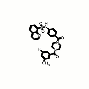 Cc1cc(F)cc(C(=O)N2CCN(C(=O)c3ccc(NS(=O)(=O)c4cccc5cccnc45)cc3)CC2)c1